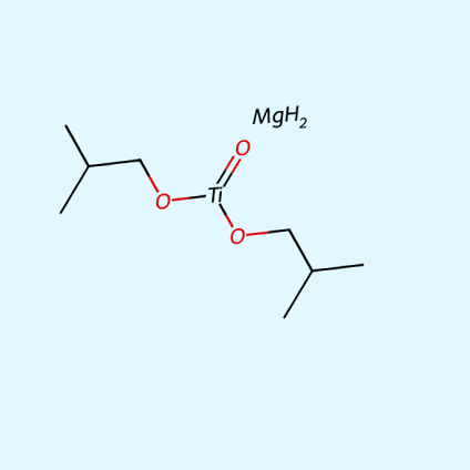 CC(C)C[O][Ti](=[O])[O]CC(C)C.[MgH2]